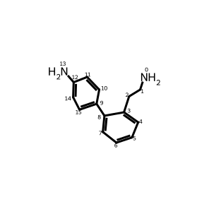 NCCc1ccccc1-c1ccc(N)cc1